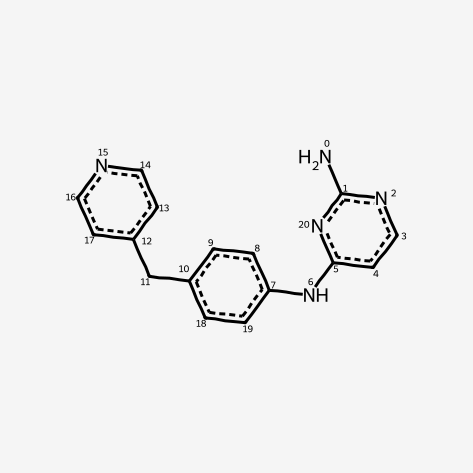 Nc1nccc(Nc2ccc(Cc3ccncc3)cc2)n1